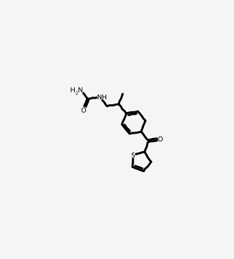 CC(CNC(N)=O)C1=CCC(C(=O)C2CC=CS2)C=C1